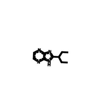 CCC(CC)c1nc2nccnc2[nH]1